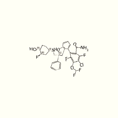 NC(=O)c1c(F)c(Cl)c(OC(F)F)c(F)c1-c1cccc2c1C[C@@](CN[C@H]1CC[C@@H](O)[C@H](F)C1)(c1ccccc1)O2